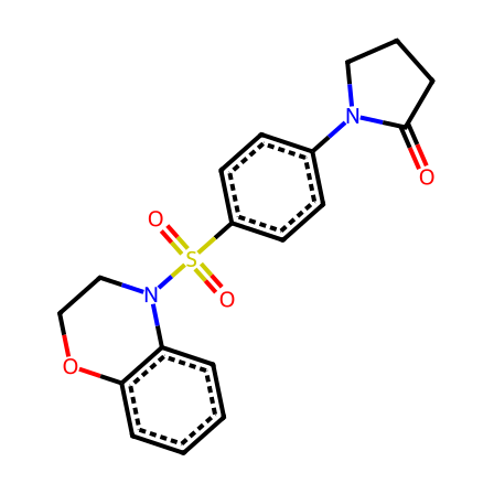 O=C1CCCN1c1ccc(S(=O)(=O)N2CCOc3ccccc32)cc1